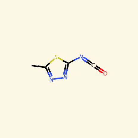 Cc1nnc(N=C=O)s1